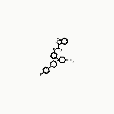 CC1CCC(c2cccc(NC(=O)c3noc4ccccc34)c2)(N2CCN(c3ccc(F)cc3)CC2)CC1